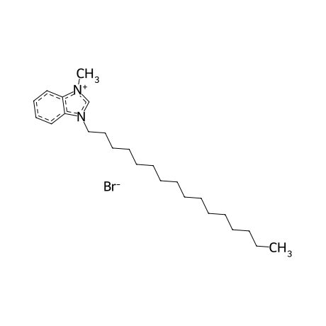 CCCCCCCCCCCCCCCCn1c[n+](C)c2ccccc21.[Br-]